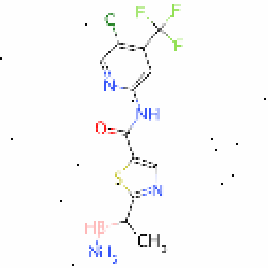 CC(BN)c1ncc(C(=O)Nc2cc(C(F)(F)F)c(Cl)cn2)s1